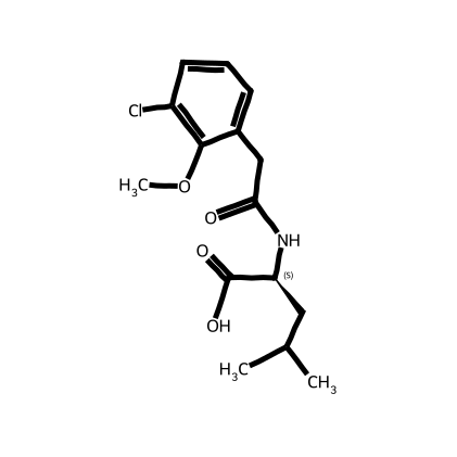 COc1c(Cl)cccc1CC(=O)N[C@@H](CC(C)C)C(=O)O